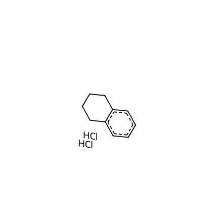 Cl.Cl.c1ccc2c(c1)CCCC2